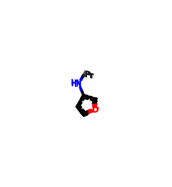 CC(C)Nc1ccoc1